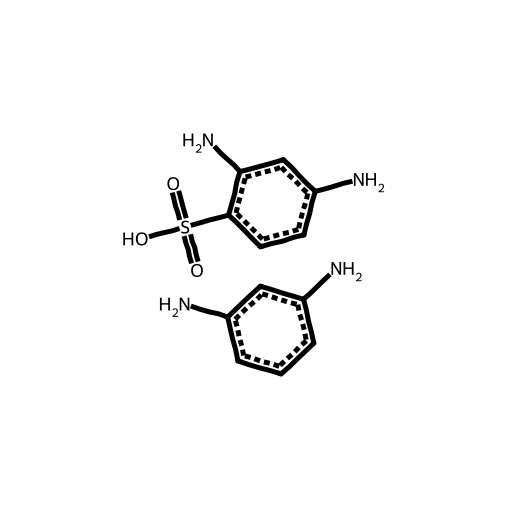 Nc1ccc(S(=O)(=O)O)c(N)c1.Nc1cccc(N)c1